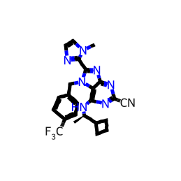 C[C@@H](Nc1nc(C#N)nc2nc(-c3nccn3C)n(Cc3ccc(C(F)(F)F)cc3)c12)C1CCC1